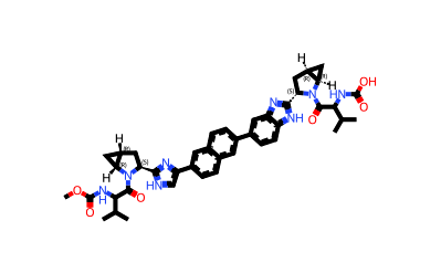 COC(=O)NC(C(=O)N1[C@@H]2C[C@@H]2C[C@H]1c1nc(-c2ccc3cc(-c4ccc5[nH]c([C@@H]6C[C@H]7C[C@H]7N6C(=O)C(NC(=O)O)C(C)C)nc5c4)ccc3c2)c[nH]1)C(C)C